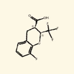 O=C(O)[C@@H]1Cc2cccc(F)c2O[C@@H]1C(F)(F)F